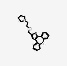 c1ccc2c(c1)Sc1ccccc1-c1sc(COCCN3CCCC3)cc1-2